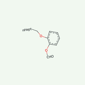 CCCCCCCCOc1ccccc1OC=O